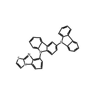 c1ccc2c(c1)c1ccccc1n2-c1ccc2c(c1)c1ccccc1n2-c1cccc2c1nc1sccn12